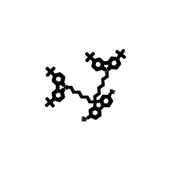 CC(C)(C)c1ccc2c(c1)c1cc(C(C)(C)C)ccc1n2CCCCCCC1(CCCCCCn2c3ccc(C(C)(C)C)cc3c3cc(C(C)(C)C)ccc32)c2cc(Br)ccc2-c2ccc(Br)cc21